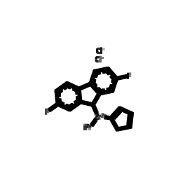 C[CH](C)[Zr+2]([C]1=CC=CC1)[CH]1c2cc(F)ccc2-c2ccc(F)cc21.[Cl-].[Cl-]